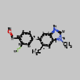 Cc1cc2c(cc1-c1ccc(C=O)c(F)c1)ncn2C